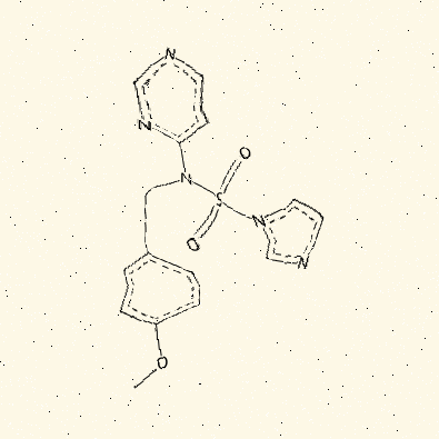 COc1ccc(CN(c2ccncn2)S(=O)(=O)n2ccnc2)cc1